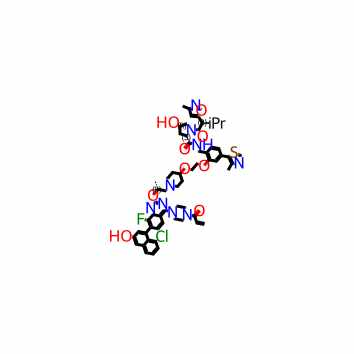 C=CC(=O)N1CCN(c2nc(O[C@H](C)CN3CCC(OCCOc4cc(-c5scnc5C)ccc4CNC(=O)[C@@H]4C[C@@H](O)CN4C(=O)[C@@H](c4cc(C)no4)C(C)C)CC3)nc3c(F)c(-c4cc(O)cc5ccccc45)c(Cl)cc23)CC1